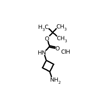 CC(C)(C)OC(=O)NC1CC(N)C1.Cl